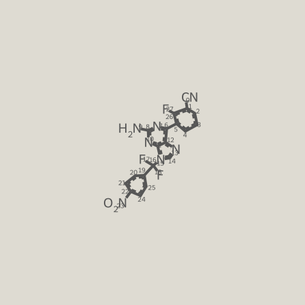 N#Cc1cccc(-c2nc(N)nc3c2ncn3C(F)(F)c2ccc([N+](=O)[O-])cc2)c1F